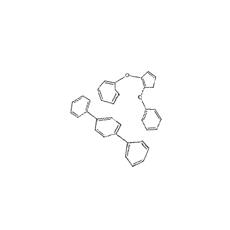 C1=CC(Oc2ccccc2)=C(Oc2ccccc2)C1.c1ccc(-c2ccc(-c3ccccc3)cc2)cc1